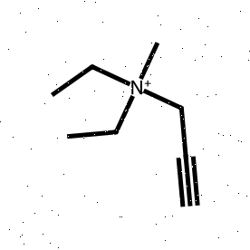 C#CC[N+](C)(CC)CC